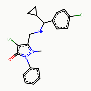 Cn1c(CNC(c2ccc(Cl)cc2)C2CC2)c(Br)c(=O)n1-c1ccccc1